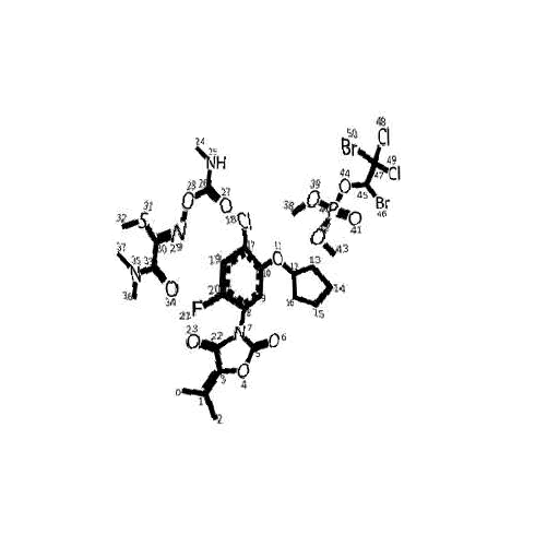 CC(C)=C1OC(=O)N(c2cc(OC3CCCC3)c(Cl)cc2F)C1=O.CNC(=O)ON=C(SC)C(=O)N(C)C.COP(=O)(OC)OC(Br)C(Cl)(Cl)Br